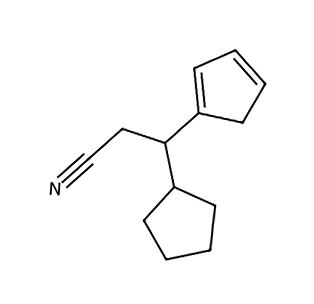 N#CCC(C1=CC=CC1)C1CCCC1